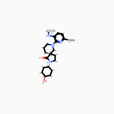 CCOC(=O)Nc1ccc(OC)nc1N1CCC[C@]2(CCN([C@H]3CC[C@H](O)CC3)C2=O)C1